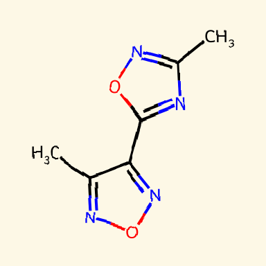 Cc1noc(-c2nonc2C)n1